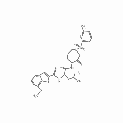 COc1cccc2cc(C(=O)NC(CC(C)C)C(=O)N[C@H]3CCCN(S(=O)(=O)c4cccc(C)n4)CC3=O)oc12